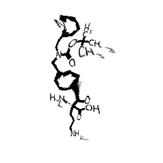 CC(C)(C)OC(=O)N(Cc1ccc(C(=O)[C@](N)(CCCN)C(=O)O)cc1)Cc1ccccn1